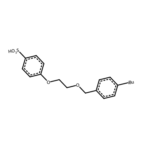 CCC(C)c1ccc(COCCOc2ccc(S(=O)(=O)O)cc2)cc1